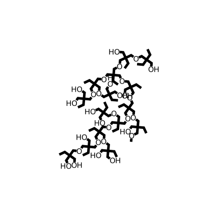 CCC(CC)(CO)COCC(CC)(CO)COCC(CC)(COCC(CC)(CO)COCC(CC)(COCC(CC)(CO)COC)COCC(CC)(COCC(CC)(CO)CO)COCC(CC)(COCC(CC)(CO)CO)COCC(CC)(CO)COCC(CC)(CO)CO)COCC(CC)(COCC(CC)(CO)CO)COCC(CC)(CO)CO